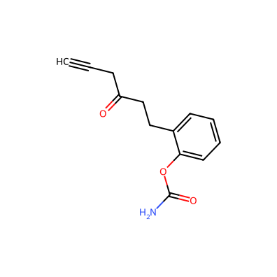 C#CCC(=O)CCc1ccccc1OC(N)=O